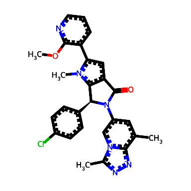 COc1ncccc1-c1cc2c(n1C)[C@H](c1ccc(Cl)cc1)N(c1cc(C)c3nnc(C)n3c1)C2=O